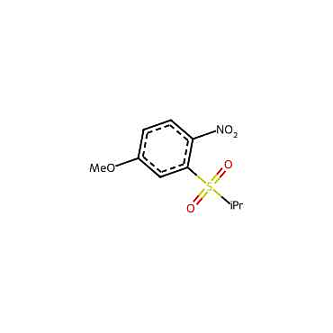 COc1ccc([N+](=O)[O-])c(S(=O)(=O)C(C)C)c1